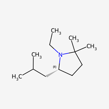 CCN1[C@@H](CC(C)C)CCC1(C)C